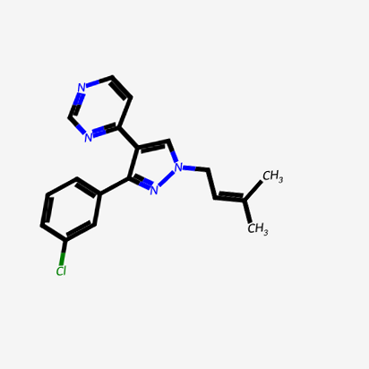 CC(C)=CCn1cc(-c2ccncn2)c(-c2cccc(Cl)c2)n1